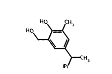 Cc1cc(C(C)C(C)C)cc(CO)c1O